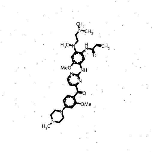 C=CC(=O)Nc1cc(Nc2nccc(C(=O)c3ccc(N4CCN(C)CC4)cc3OC)n2)c(OC)cc1N(C)CCN(C)C